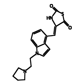 O=C1NC(=Cc2cccc3c2ccn3CCN2CCCC2)C(=O)S1